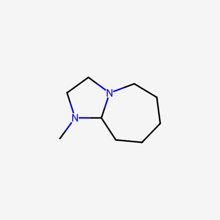 CN1CCN2CCCCCC12